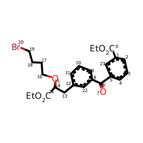 CCOC(=O)c1cccc(C(=O)c2cccc(CC(OCCCCBr)C(=O)OCC)c2)c1